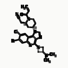 C=CC(=O)N1CC[C@H](n2cnc3c(N4CC(N(C)C)C4)nc4cc(Br)c(Cl)cc4c32)C[C@H]1CC#N